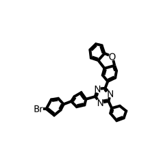 Brc1ccc(-c2ccc(-c3nc(C4=CC=CCC4)nc(-c4ccc5oc6ccccc6c5c4)n3)cc2)cc1